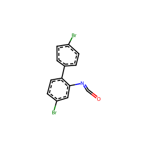 O=C=Nc1cc(Br)ccc1-c1ccc(Br)cc1